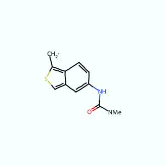 [CH2]c1scc2cc(NC(=O)NC)ccc12